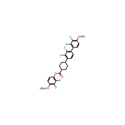 CCCCOc1ccc(OC(=O)C2CCC(c3ccc(-c4ccc(OCC)c(F)c4F)c(F)c3F)CC2)c(F)c1F